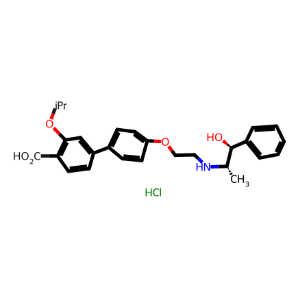 CC(C)Oc1cc(-c2ccc(OCCN[C@@H](C)[C@@H](O)c3ccccc3)cc2)ccc1C(=O)O.Cl